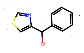 OC(c1ccccc1)c1cscn1